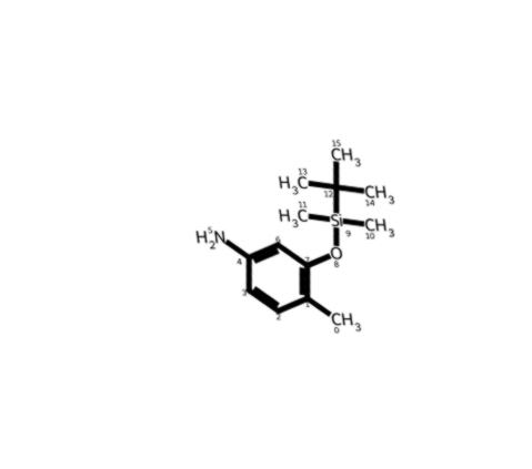 Cc1ccc(N)cc1O[Si](C)(C)C(C)(C)C